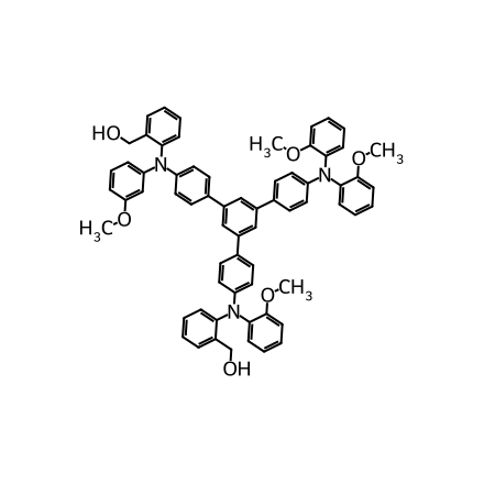 COc1cccc(N(c2ccc(-c3cc(-c4ccc(N(c5ccccc5CO)c5ccccc5OC)cc4)cc(-c4ccc(N(c5ccccc5OC)c5ccccc5OC)cc4)c3)cc2)c2ccccc2CO)c1